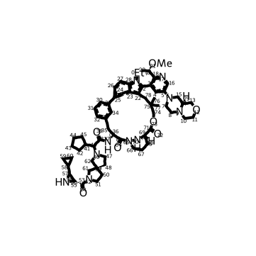 CCn1c(-c2cc(N3CCN4CCOC[C@@H]4C3)cnc2[C@H](C)OC)c2c3cc(ccc31)-c1cccc(c1)C[C@H](NC(=O)C(C1CCCC1)N1CC[C@]3(CCN(C(=O)[C@@H]4NC4C4CC4)C3)C1)C(=O)N1CCC[C@H](N1)C(=O)OCC(C)(C)C2